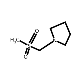 CS(=O)(=O)CN1CCCC1